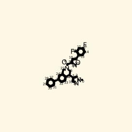 Cn1cc(C2CN(C(=O)c3cc(-c4ccc(F)cc4F)on3)Cc3cc(-c4ccccc4)ccc32)cn1